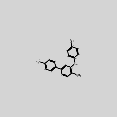 Nc1ccc(-c2ccc(N)c(Oc3ccc(O)cc3)c2)cc1